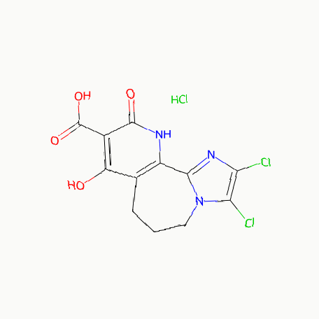 Cl.O=C(O)c1c(O)c2c([nH]c1=O)-c1nc(Cl)c(Cl)n1CCC2